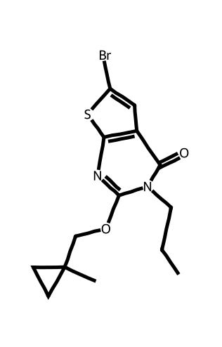 CCCn1c(OCC2(C)CC2)nc2sc(Br)cc2c1=O